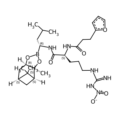 CC(C)C[C@H](NC(=O)[C@H](CCCNC(=N)N[N+](=O)[O-])NC(=O)CCc1ccco1)B1O[C@@H]2C[C@@H]3C[C@@H](C3(C)C)[C@]2(C)O1